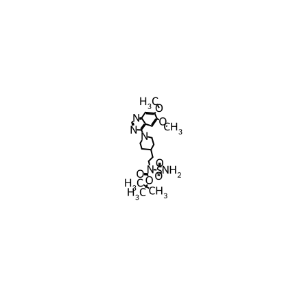 COc1cc2ncnc(N3CCC(CCN(C(=O)OC(C)(C)C)S(N)(=O)=O)CC3)c2cc1OC